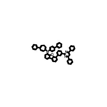 C1=CC(N(c2ccc(-c3ccccc3)cc2)c2cccc3c2oc2c(-c4cccc(-c5nc(-c6ccccc6)cc(-c6ccccc6)n5)c4)cccc23)=CCC=C1c1ccccc1